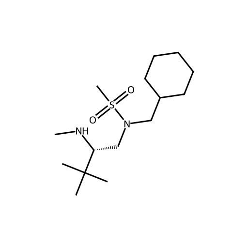 CN[C@H](CN(CC1CCCCC1)S(C)(=O)=O)C(C)(C)C